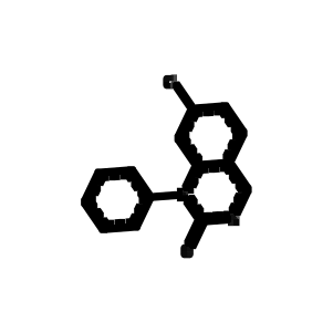 O=c1ncc2ccc(Cl)cc2n1-c1ccccc1